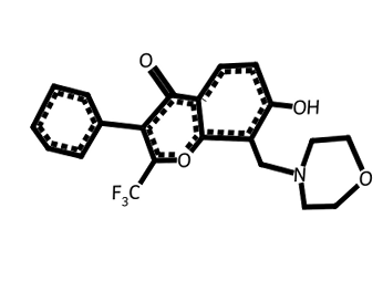 O=c1c(-c2ccccc2)c(C(F)(F)F)oc2c(CN3CCOCC3)c(O)ccc12